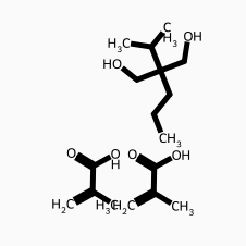 C=C(C)C(=O)O.C=C(C)C(=O)O.CCCC(CO)(CO)C(C)C